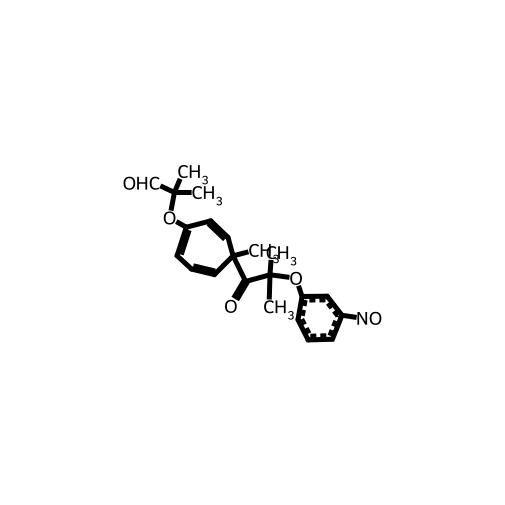 CC(C)(C=O)OC1=CC=CC(C)(C(=O)C(C)(C)Oc2cccc(N=O)c2)C=C1